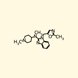 Cc1ncc(Cn2c(N(C)C3CCN(C)CC3)nc3ccccc32)o1